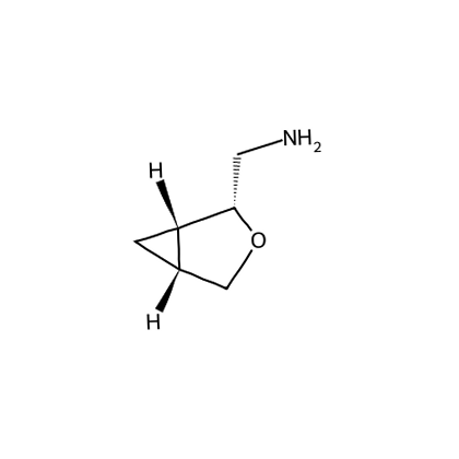 NC[C@@H]1OC[C@@H]2C[C@@H]21